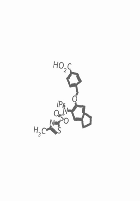 Cc1csc(S(=O)(=O)N(c2cc3c(cc2OCc2ccc(C(=O)O)cc2)CCC3)C(C)C)n1